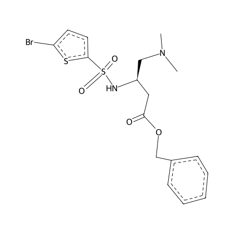 CN(C)C[C@@H](CC(=O)OCc1ccccc1)NS(=O)(=O)c1ccc(Br)s1